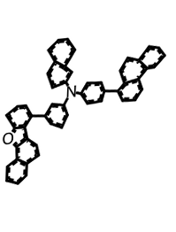 c1cc(-c2cccc3oc4c5ccccc5ccc4c23)cc(N(c2ccc(-c3cccc4c3ccc3ccccc34)cc2)c2ccc3ccccc3c2)c1